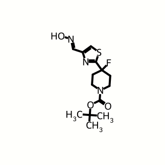 CC(C)(C)OC(=O)N1CCC(F)(c2nc(C=NO)cs2)CC1